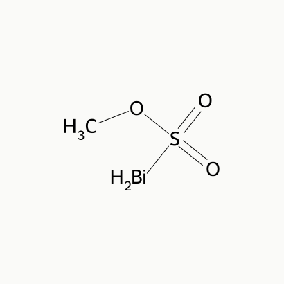 CO[S](=O)(=O)[BiH2]